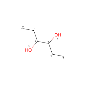 [CH2]CC(O)C(O)CC